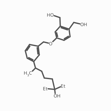 CCC(O)(CC)CCCC(C)c1cccc(COc2ccc(CO)c(CO)c2)c1